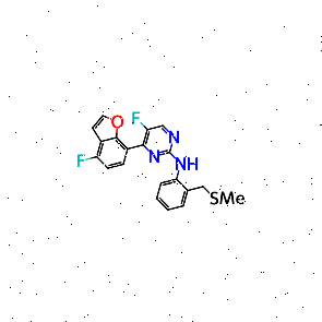 CSCc1ccccc1Nc1ncc(F)c(-c2ccc(F)c3ccoc23)n1